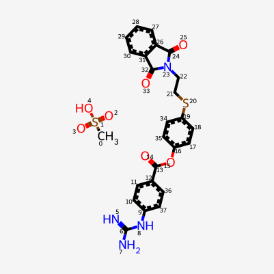 CS(=O)(=O)O.N=C(N)Nc1ccc(C(=O)Oc2ccc(SCCN3C(=O)c4ccccc4C3=O)cc2)cc1